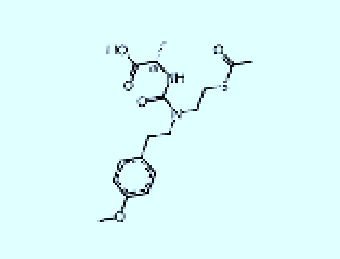 COc1ccc(CCN(CCSC(C)=O)C(=O)N[C@@H](C)C(=O)O)cc1